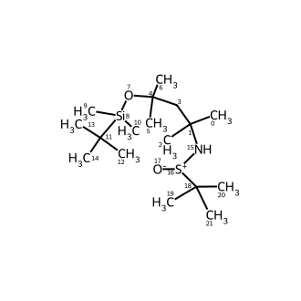 CC(C)(CC(C)(C)O[Si](C)(C)C(C)(C)C)N[S+]([O-])C(C)(C)C